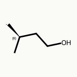 [CH2][C@H](C)CCO